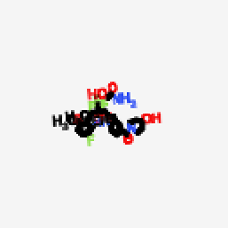 COc1ccc(F)cc1C(C)(C)CC(O)(Cc1cc2cc(C(=O)N3CCC(O)CC3)ccc2[nH]1)C(F)(F)F.NC(=O)CO